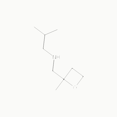 CC(C)CNCC1(C)CCO1